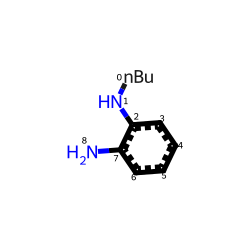 CCCCNc1ccccc1N